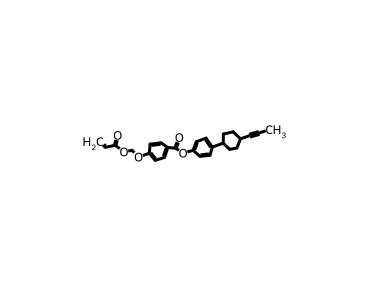 C=CC(=O)OCOc1ccc(C(=O)Oc2ccc(C3CCC(C#CC)CC3)cc2)cc1